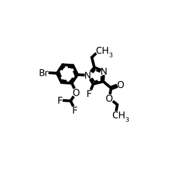 CCOC(=O)c1nc(CC)n(-c2ccc(Br)cc2OC(F)F)c1F